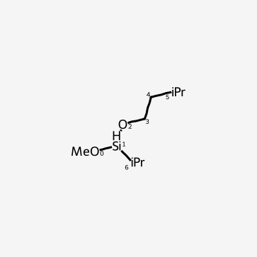 CO[SiH](OCCC(C)C)C(C)C